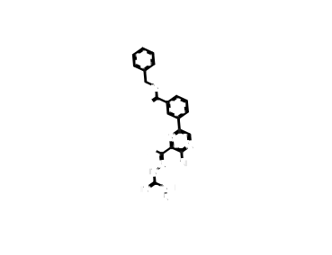 C/C(=N\NC(=N)NN)c1nc(-c2cccc(C(=O)NCc3ccccc3)c2)cnc1N